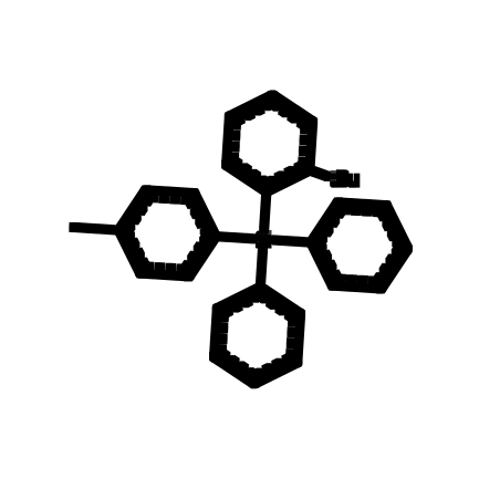 Cc1ccc([Si](c2ccccc2)(c2ccccc2)c2ccccc2C(C)(C)C)cc1